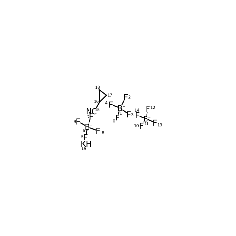 F[B-](F)(F)F.F[B-](F)(F)F.F[B-](F)(F)F.N#CC1CC1.[KH]